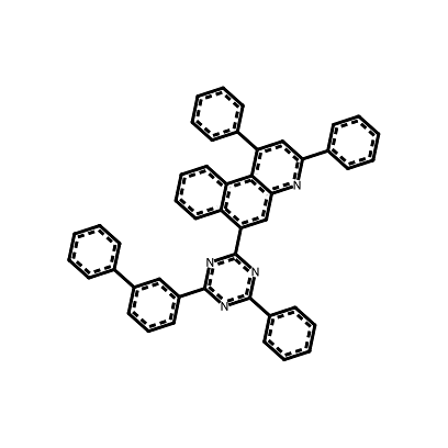 c1ccc(-c2cccc(-c3nc(-c4ccccc4)nc(-c4cc5nc(-c6ccccc6)cc(-c6ccccc6)c5c5ccccc45)n3)c2)cc1